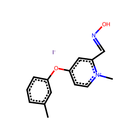 Cc1cccc(Oc2cc[n+](C)c(/C=N/O)c2)c1.[I-]